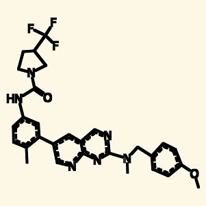 COc1ccc(CN(C)c2ncc3cc(-c4cc(NC(=O)N5CCC(C(F)(F)F)C5)ccc4C)cnc3n2)cc1